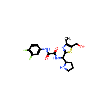 Cc1nc(C(NC(=O)C(=O)Nc2ccc(F)c(F)c2)C2CCCN2)sc1CO